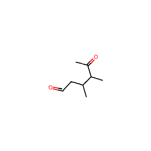 CC(=O)C(C)C(C)CC=O